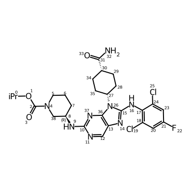 CC(C)OC(=O)N1CCC[C@@H](Nc2ncc3nc(Nc4c(Cl)cc(F)cc4Cl)n([C@H]4CC[C@@H](C(N)=O)CC4)c3n2)C1